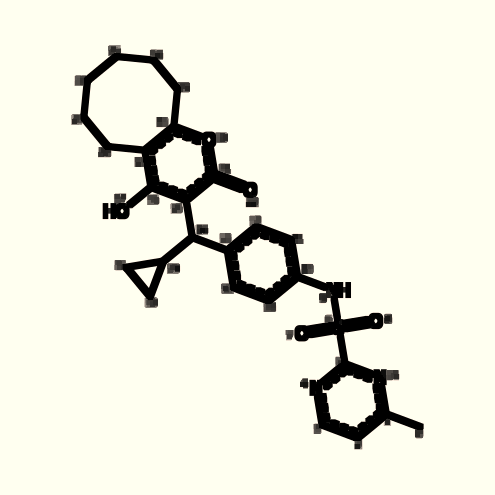 Cc1ccnc(S(=O)(=O)Nc2ccc(C(c3c(O)c4c(oc3=O)CCCCCC4)C3CC3)cc2)n1